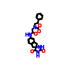 O=C(CN1CC(c2ccccc2)OC1=O)Nc1ccc2c(c1)CC1(C2)NC(=O)NC1=O